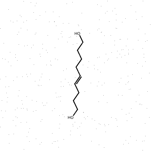 OCCCC=CCCCCO